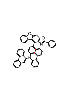 c1ccc(-c2nc3c(-c4ccc(N(c5ccccc5-c5ccccc5)c5cc6ccccc6c6ccccc56)cc4)c4c(cc3o2)oc2ccccc24)cc1